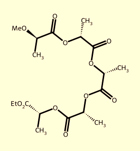 CCOC(=O)[C@@H](C)OC(=O)[C@@H](C)OC(=O)[C@@H](C)OC(=O)[C@@H](C)OC(=O)[C@@H](C)OC